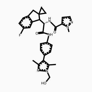 Cc1nn(CO)c(C)c1-c1ccc(NC(=O)[C@@H](NC(=O)c2ccnn2C)C2c3cc(F)ccc3CC23CC3)cc1